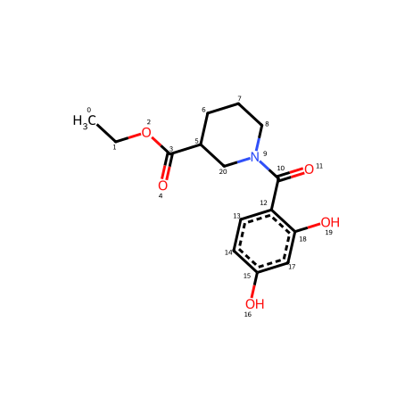 CCOC(=O)C1CCCN(C(=O)c2ccc(O)cc2O)C1